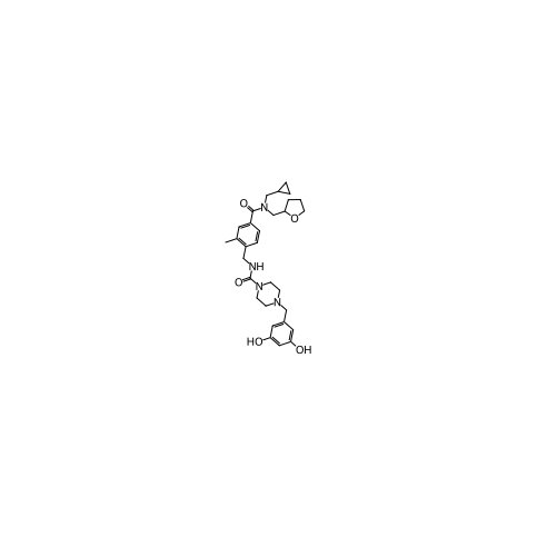 Cc1cc(C(=O)N(CC2CC2)CC2CCCO2)ccc1CNC(=O)N1CCN(Cc2cc(O)cc(O)c2)CC1